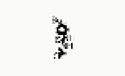 CCC(C)c1ccc(NC(=O)NCCCl)cc1